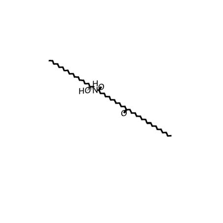 CCCCCCCCC=CCCCCCCCC(=O)CCCCCCCCCCC(=O)NC[C@H](O)CCCCCCCCCCCCCCCC